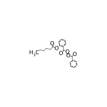 CCCCCC(=O)Oc1ccccc1C(=O)OOC(=O)c1ccccc1